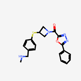 CNCc1ccc(SC2CN(C(=O)c3nnc(-c4ccccc4)o3)C2)cc1